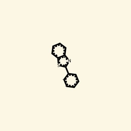 [c]1[c]c(-c2nc3ccccc3s2)ccc1